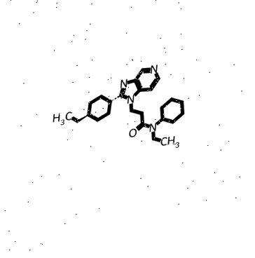 CCN(C(=O)CCn1c2ccncc2nc1[C@H]1CC[C@H](CC)CC1)C1CCCCC1